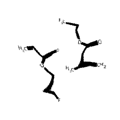 C=C(C)C(=O)OCC(F)(F)F.C=CC(=O)OCCF